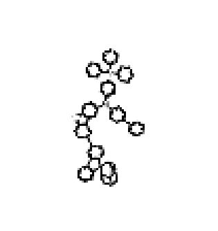 c1ccc(-c2ccc(N(c3ccc([Si](c4ccccc4)(c4ccccc4)c4ccccc4)cc3)c3ccc4oc5ccc(-c6ccc7c(c6)-c6ccccc6C76C7CC8CC(C7)CC6C8)cc5c4c3)cc2)cc1